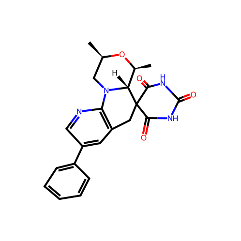 C[C@@H]1CN2c3ncc(-c4ccccc4)cc3CC3(C(=O)NC(=O)NC3=O)[C@H]2[C@H](C)O1